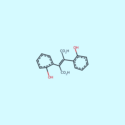 O=C(O)/C(=C(/C(=O)O)c1ccccc1O)c1ccccc1O